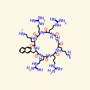 CNCCCCC1NC(=O)C(CCCNC(=N)N)NC(=O)C(CCCNC(=N)N)NC(=O)C(Cc2ccc3ccccc3c2)NC(=O)C(CCCCNF)NC(=O)C(CCCNC(=N)N)NC(=O)C(CCCNC(=N)N)NC(=O)CNC1=O